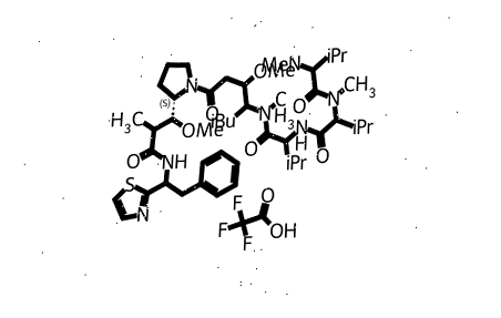 CCC(C)C(C(CC(=O)N1CCC[C@H]1C(OC)C(C)C(=O)NC(Cc1ccccc1)c1nccs1)OC)N(C)C(=O)C(NC(=O)C(C(C)C)N(C)C(=O)C(NC)C(C)C)C(C)C.O=C(O)C(F)(F)F